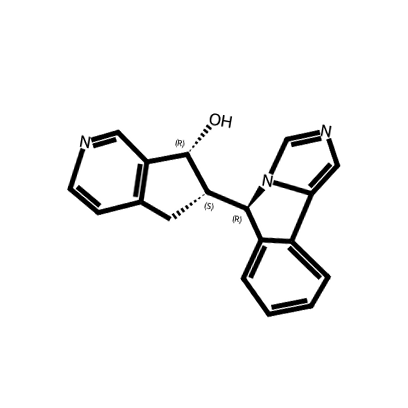 O[C@H]1c2cnccc2C[C@H]1[C@@H]1c2ccccc2-c2cncn21